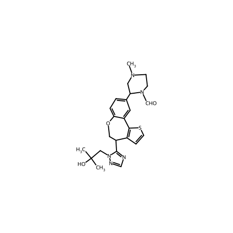 CN1CCN(C=O)C(c2ccc3c(c2)-c2sccc2C(c2ncnn2CC(C)(C)O)CO3)C1